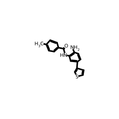 Cc1ccc(C(=O)Nc2cc(-c3ccsc3)ccc2N)cc1